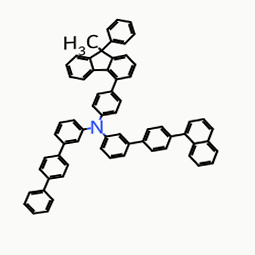 CC1(c2ccccc2)c2ccccc2-c2c(-c3ccc(N(c4cccc(-c5ccc(-c6ccccc6)cc5)c4)c4cccc(-c5ccc(-c6cccc7ccccc67)cc5)c4)cc3)cccc21